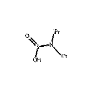 CC(C)N(C(C)C)S(=O)O